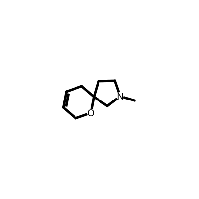 CN1CCC2(CC=CCO2)C1